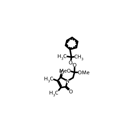 COC(CN1C(=O)C(C)=C(C)C1=O)(OC)OOC(C)(C)c1ccccc1